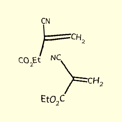 C=C(C#N)C(=O)OCC.C=C(C#N)C(=O)OCC